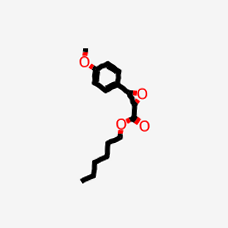 CCCCCCOC(=O)C1OC1c1ccc(OC)cc1